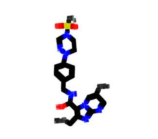 COCc1nc2ncc(OC)cn2c1C(O)NCc1ccc(N2CCN(S(=O)(=O)C(F)(F)F)C=N2)cc1